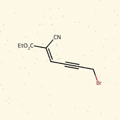 CCOC(=O)/C(C#N)=C/C#CCBr